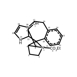 CCOC(=O)[N+]12CCC(C(CO)C1)C21c2ccccc2CCN2C=CNC21